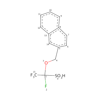 O=S(=O)(O)C(F)(OCc1ccc2ccccc2c1)C(F)(F)F